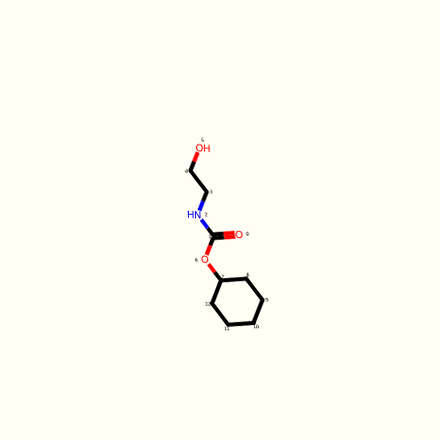 O=C(NCCO)OC1CCCCC1